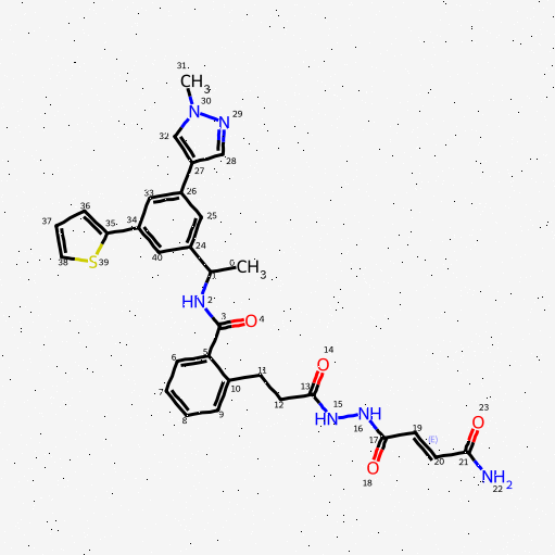 CC(NC(=O)c1ccccc1CCC(=O)NNC(=O)/C=C/C(N)=O)c1cc(-c2cnn(C)c2)cc(-c2cccs2)c1